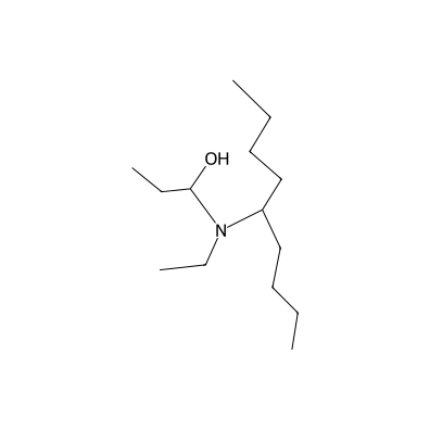 CCCCC(CCCC)N(CC)C(O)CC